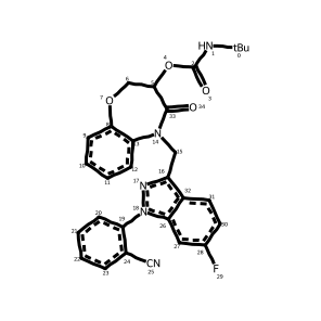 CC(C)(C)NC(=O)OC1COc2ccccc2N(Cc2nn(-c3ccccc3C#N)c3cc(F)ccc23)C1=O